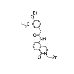 CCOc1ccc(CC(=O)Nc2cccc3c(=O)n(CC(C)C)ccc23)cc1C